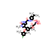 Cc1cc(F)cc(C)c1Oc1ccc(C(C)(C)OC(=O)CCP(=O)(O)O)cc1-c1cn(C)c(=O)c2[nH]c(C(=O)Nc3ccc(C(C)C)cc3)cc12